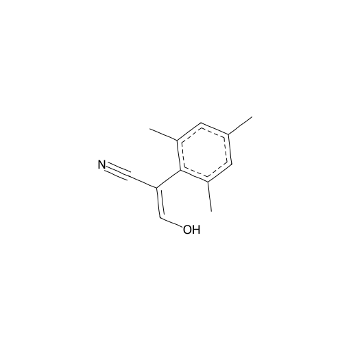 Cc1cc(C)c(/C(C#N)=C\O)c(C)c1